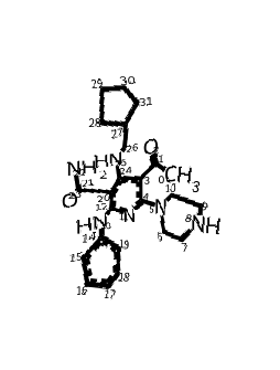 CC(=O)c1c(N2CCNCC2)nc(Nc2ccccc2)c(C(N)=O)c1NCC1CCCC1